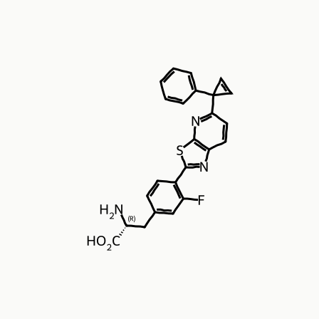 N[C@H](Cc1ccc(-c2nc3ccc(C4(c5ccccc5)C=C4)nc3s2)c(F)c1)C(=O)O